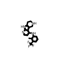 Cc1c(Nc2ccnc3[nH]c4c(c23)CNCC4)cccc1C(F)(F)F